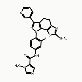 CC(=O)Nc1nc2c(s1)-c1c(c(-c3cccnc3)nn1-c1ccc(NC(=O)c3cncn3C)cc1F)CC2